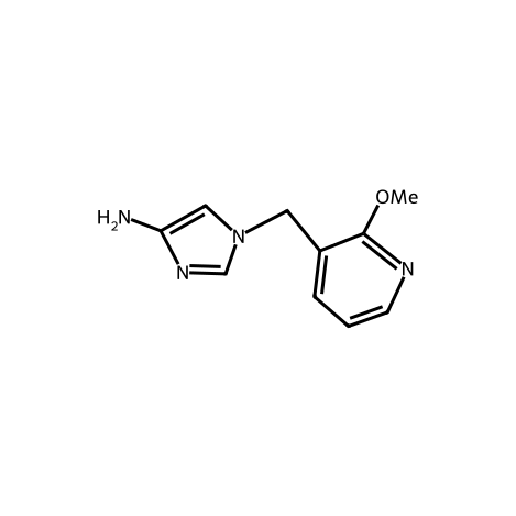 COc1ncccc1Cn1cnc(N)c1